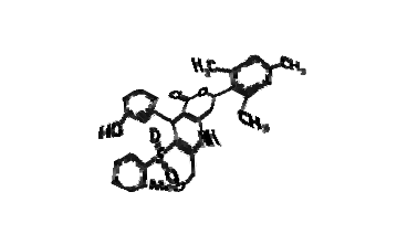 COCC1=C(S(=O)(=O)c2ccccc2)C(c2cccc(O)c2)C2=C(CC(c3c(C)cc(C)cc3C)OC2=O)N1